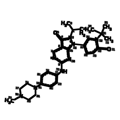 CC(C)n1c(=O)c2cnc(Nc3ccc(N4CCN(C)CC4)cc3)nc2n1-c1ccc(=O)n(C(C)(C)C)c1